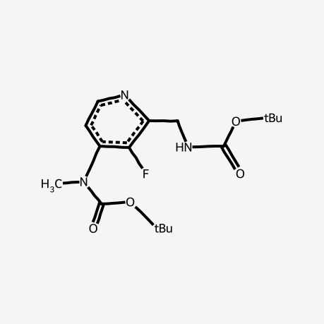 CN(C(=O)OC(C)(C)C)c1ccnc(CNC(=O)OC(C)(C)C)c1F